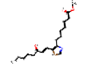 CCCCCC(=O)C=Cc1scnc1CCCCCCC(=O)OC